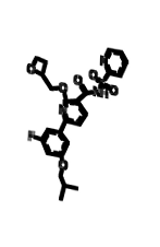 CC(C)COc1cc(F)cc(-c2ccc(C(=O)NS(=O)(=O)c3ccccn3)c(OCC3CCO3)n2)c1